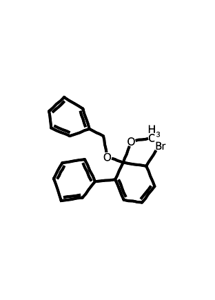 COC1(OCc2ccccc2)C(c2ccccc2)=CC=CC1Br